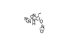 C=Cc1cc(OCCN2CCOCC2)cc(NC(=O)c2cnccn2)c1N=C